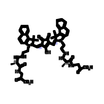 C[C@H](NNCCN1/C(=C/C2=C(O)C(=C/C3=[N+](CCNN[C@@H](C)C(=O)NCC(=O)C(=O)O)c4ccc5ccccc5c4C3(C)C)/C(=O)C2=O)C(C)(C)c2c1ccc1ccccc21)C(=O)NCC(=O)C(=O)O